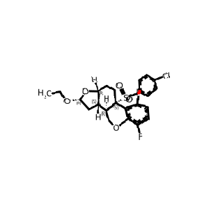 CCO[C@H]1C[C@@H]2[C@@H](CC[C@@]3(S(=O)(=O)c4ccc(Cl)cc4)c4c(F)ccc(F)c4OC[C@@H]23)O1